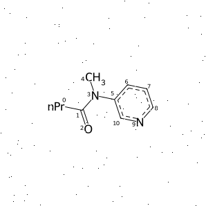 CCCC(=O)N(C)c1cccnc1